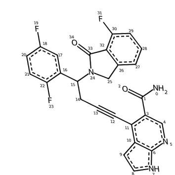 NC(=O)c1cnc2[nH]ccc2c1C#CCC(c1cc(F)ccc1F)N1Cc2cccc(F)c2C1=O